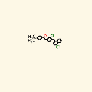 C=C(C)c1ccc(C(=O)Cc2ccc(Cc3ccc(Cl)c4ccccc34)c(Cl)c2)cc1